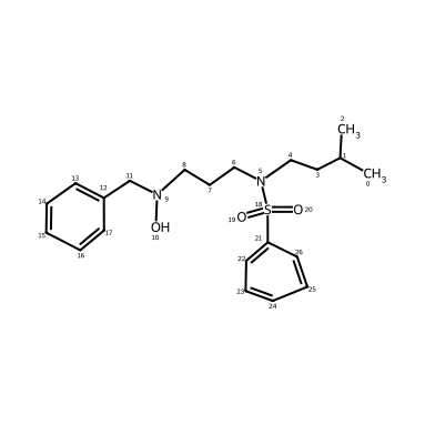 CC(C)CCN(CCCN(O)Cc1ccccc1)S(=O)(=O)c1ccccc1